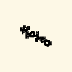 O=C(Nc1ccc(NC(=S)NCc2ccncc2)cc1)C(F)(F)F